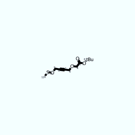 CC(C)(C)OC(=O)COCC#CCOSI